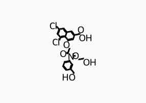 O=C(O)c1cc(OCC(=O)N(OCCO)c2cccc(CO)c2)c2c(Cl)cc(Cl)cc2c1